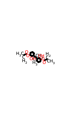 C=C(C)C(=O)Oc1cccc(C(C)(C)c2cccc(OC(=O)C(=C)C)c2O)c1O